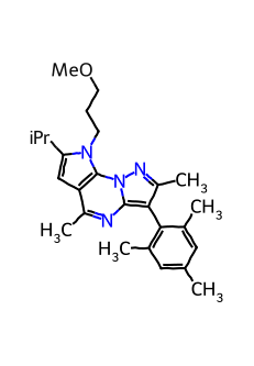 COCCCn1c(C(C)C)cc2c(C)nc3c(-c4c(C)cc(C)cc4C)c(C)nn3c21